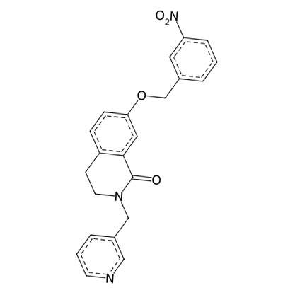 O=C1c2cc(OCc3cccc([N+](=O)[O-])c3)ccc2CCN1Cc1cccnc1